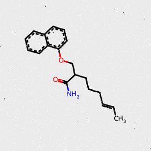 CC=CCCCC(COc1cccc2ccccc12)C(N)=O